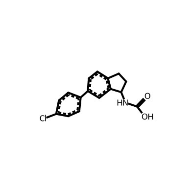 O=C(O)NC1CCc2ccc(-c3ccc(Cl)cc3)cc21